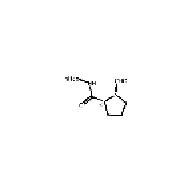 CCCCCCNC(=O)[C@@H]1CCCN1C=O